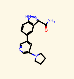 NC(=O)c1n[nH]c2ccc(-c3cncc(N4CCCC4)c3)cc12